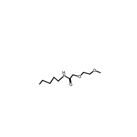 CCCCCNC(=O)COCCOC